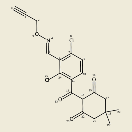 C#CCON=Cc1c(Cl)ccc(C(=O)C2C(=O)CC(C)(C)CC2=O)c1Cl